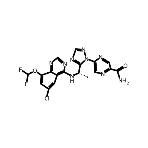 C[C@H](Nc1ncnc2c(OC(F)F)cc(Cl)cc12)c1ncnn1-c1cnc(C(N)=O)cn1